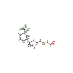 [CH2]C(CCCSCC=O)c1cccc(C(F)(F)F)c1